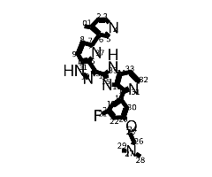 Cc1ccncc1-c1ccc2[nH]nc(-c3nc4c(-c5cc(F)cc(OCCN(C)C)c5)nccc4[nH]3)c2n1